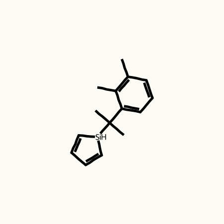 Cc1cccc(C(C)(C)[SiH]2C=CC=C2)c1C